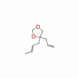 C=CCC1(CC=CC)COCO1